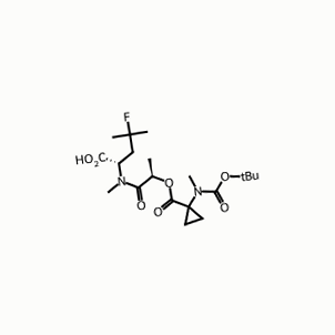 C[C@@H](OC(=O)C1(N(C)C(=O)OC(C)(C)C)CC1)C(=O)N(C)[C@@H](CC(C)(C)F)C(=O)O